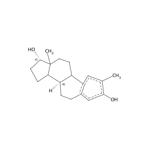 Cc1cc2c(cc1O)CC[C@@H]1C2CCC2(C)C1CC[C@@H]2O